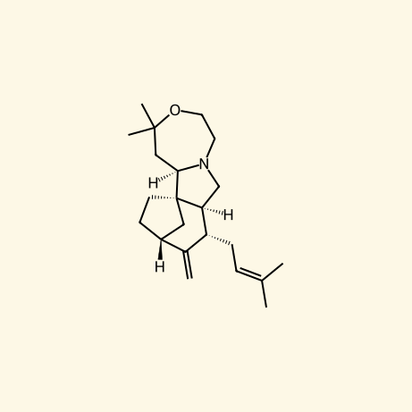 C=C1[C@@H]2CC[C@@]3(C2)[C@@H](CN2CCOC(C)(C)C[C@@H]23)[C@@H]1CC=C(C)C